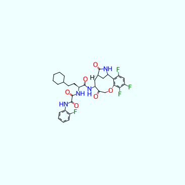 O=C(Nc1ccccc1F)C(=O)N[C@@H](CCC1CCCCC1)C(=O)NC1C[C@@H]2CC(NC2=O)c2c(F)cc(F)c(F)c2OCC1=O